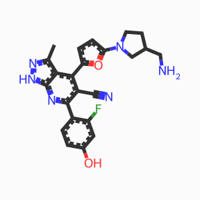 Cc1n[nH]c2nc(-c3ccc(O)cc3F)c(C#N)c(-c3ccc(N4CCC(CN)C4)o3)c12